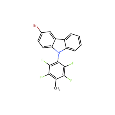 Cc1c(F)c(F)c(-n2c3ccccc3c3cc(Br)ccc32)c(F)c1F